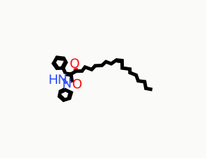 CCCCCCCC/C=C\CCCCCCCC(=O)c1c(-c2ccccc2)[nH]n(-c2ccccc2)c1=O